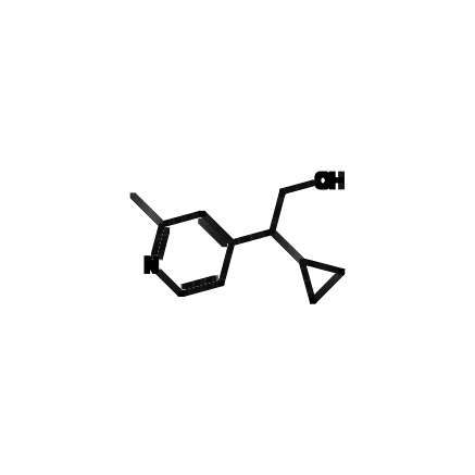 Cc1cc(C(CO)C2CC2)ccn1